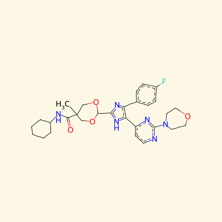 CC1(C(=O)NC2CCCCC2)COC(c2nc(-c3ccc(F)cc3)c(-c3ccnc(N4CCOCC4)n3)[nH]2)OC1